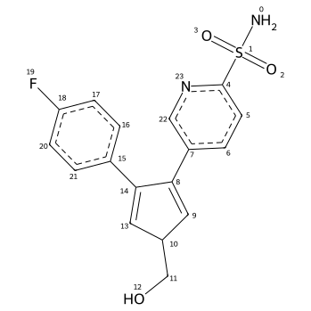 NS(=O)(=O)c1ccc(C2=CC(CO)C=C2c2ccc(F)cc2)cn1